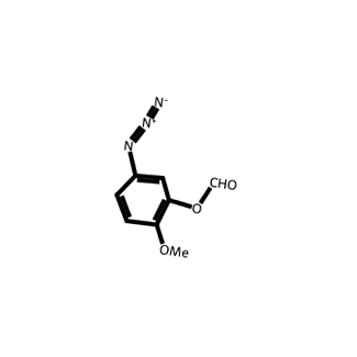 COc1ccc(N=[N+]=[N-])cc1OC=O